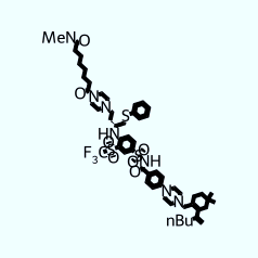 C=C(CCCC)C1=C(CN2CCN(c3ccc(C(=O)NS(=O)(=O)c4ccc(N[C@H](CCN5CCN(C(=O)CCCCCCC(=O)NC)CC5)CSc5ccccc5)c(S(=O)(=O)C(F)(F)F)c4)cc3)CC2)CCC(C)(C)C1